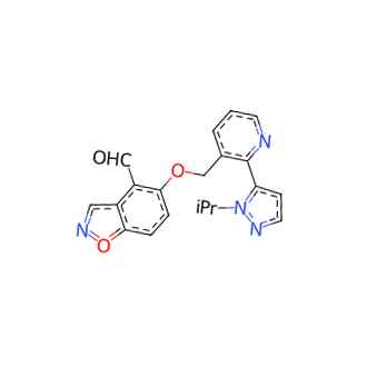 CC(C)n1nccc1-c1ncccc1COc1ccc2oncc2c1C=O